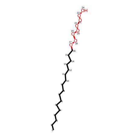 CCCCCCCCCCCCCCCCCOOOOOOOO